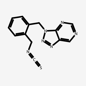 S=C=NCc1ccccc1Cn1nnc2cncnc21